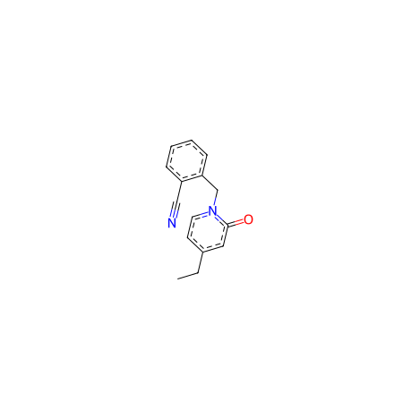 CCc1ccn(Cc2ccccc2C#N)c(=O)c1